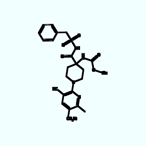 CCOC(=O)c1cc(C#N)c(N2CCC(NC(=O)OC(C)(C)C)(C(=O)NS(=O)(=O)Cc3ccccc3)CC2)nc1C